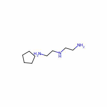 C1CCCC1.NCCNCCN